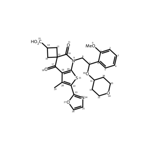 COc1ccccc1C(CN1C(=O)C2(CC(C(=O)O)C2)C(=O)c2c1sc(-c1ncco1)c2C)OC1CCOCC1